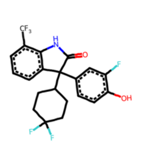 O=C1Nc2c(C(F)(F)F)cccc2C1(c1ccc(O)c(F)c1)C1CCC(F)(F)CC1